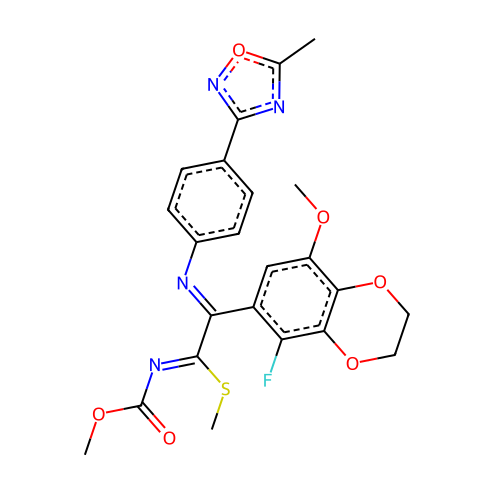 COC(=O)/N=C(SC)/C(=N/c1ccc(-c2noc(C)n2)cc1)c1cc(OC)c2c(c1F)OCCO2